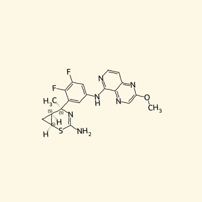 COc1cnc2c(Nc3cc(F)c(F)c([C@@]4(C)N=C(N)S[C@H]5C[C@H]54)c3)nccc2n1